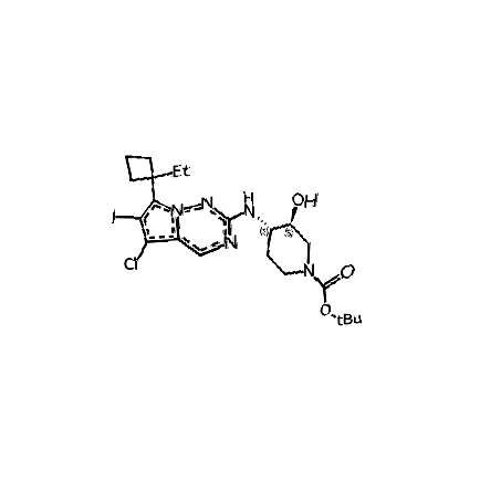 CCC1(c2c(I)c(Cl)c3cnc(N[C@H]4CCN(C(=O)OC(C)(C)C)C[C@@H]4O)nn23)CCC1